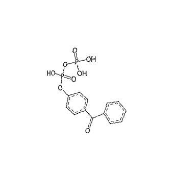 O=C(c1ccccc1)c1ccc(OP(=O)(O)OP(=O)(O)O)cc1